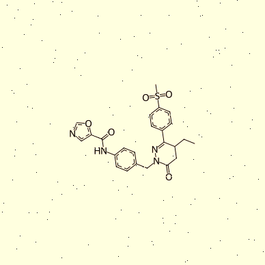 CCC1CC(=O)N(Cc2ccc(NC(=O)c3cnco3)cc2)N=C1c1ccc(S(C)(=O)=O)cc1